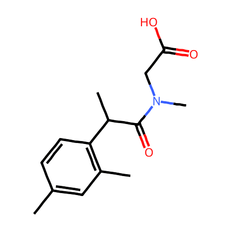 Cc1ccc(C(C)C(=O)N(C)CC(=O)O)c(C)c1